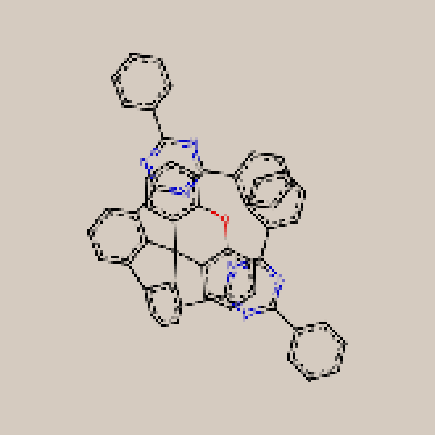 c1ccc(-c2nc(-c3ccccc3)nc(-c3cccc4c3C3(c5ccccc5Oc5ccccc53)c3c(-c5nc(-c6ccccc6)nc(-c6ccccc6)n5)cccc3-4)n2)cc1